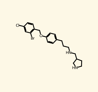 Clc1ccc(COc2ccc(CCCNCC3CCNC3)cc2)c(Br)c1